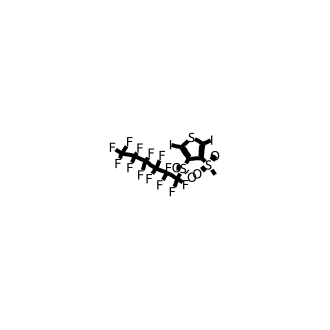 CS(=O)(=O)c1c(I)sc(I)c1S(=O)(=O)C(F)(F)C(F)(F)C(F)(F)C(F)(F)C(F)(F)C(F)(F)F